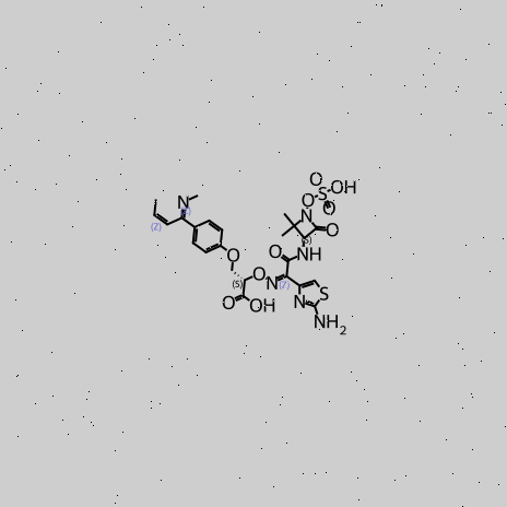 C/C=C\C(=N\C)c1ccc(OC[C@H](O/N=C(\C(=O)N[C@@H]2C(=O)N(OS(=O)(=O)O)C2(C)C)c2csc(N)n2)C(=O)O)cc1